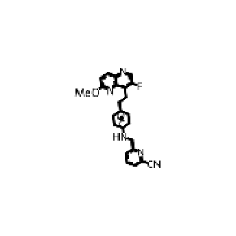 COc1ccc2ncc(F)c(CCC34CCC(NCc5cccc(C#N)n5)(CC3)CO4)c2n1